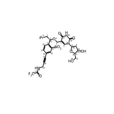 CC(C)C[C@@H](OCc1cn([C@H]2C[C@@H](O)[C@@H](CO)O2)c(=O)[nH]c1=O)c1ccc(C#CCNC(=O)C(F)(F)F)cc1[N+](=O)[O-]